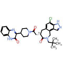 CC(C)(C)CN1Cc2c(cc(Cl)c3[nH]ncc23)C[C@@H](CC(=O)N2CCC(c3nc4ccccc4[nH]c3=O)CC2)C1=O